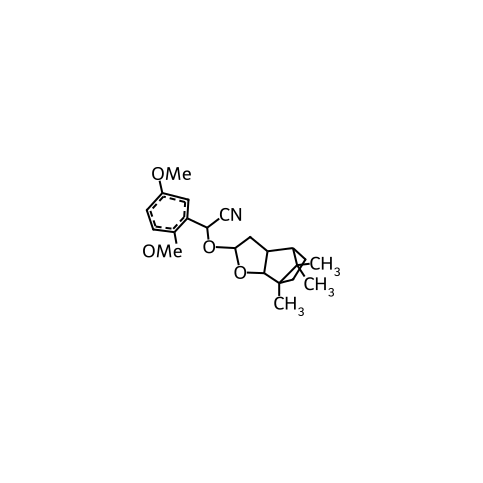 COc1ccc(OC)c(C(C#N)OC2CC3C4CCC(C)(C3O2)C4(C)C)c1